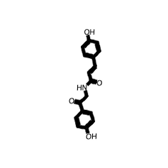 O=C(/C=C/c1ccc(O)cc1)NCC(=O)c1ccc(O)cc1